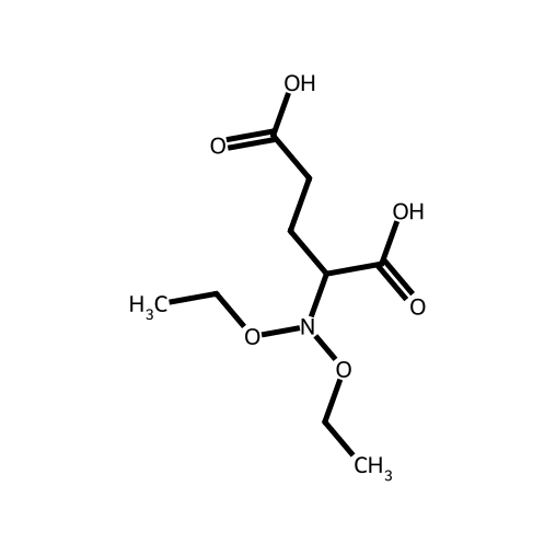 CCON(OCC)C(CCC(=O)O)C(=O)O